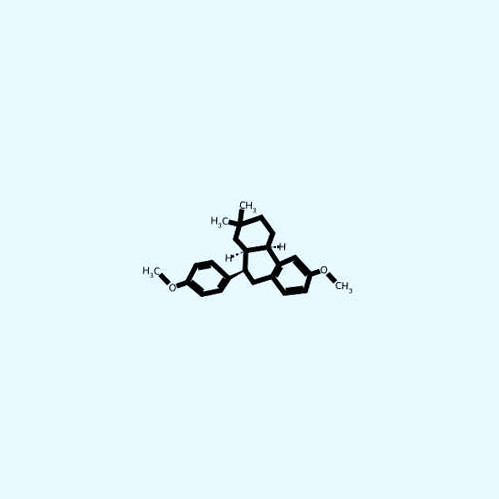 COc1ccc([C@@H]2Cc3ccc(OC)cc3[C@@H]3CCC(C)(C)C[C@H]23)cc1